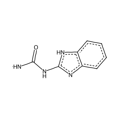 [NH]C(=O)Nc1nc2ccccc2[nH]1